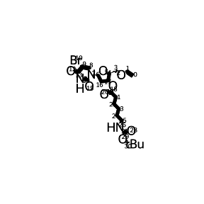 C=COC[C@H]1O[C@@H](n2cc(Br)c(=O)[nH]c2=O)C[C@@H]1OC(=O)CCCCCNC(=O)OC(C)(C)C